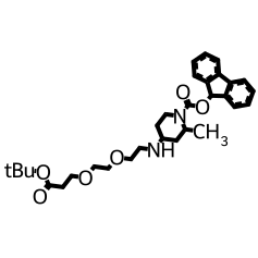 CC1CC(NCCOCCOCCC(=O)OC(C)(C)C)CCN1C(=O)OC1c2ccccc2-c2ccccc21